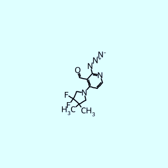 CC1(C)CN(c2ccnc(N=[N+]=[N-])c2C=O)CC1(F)F